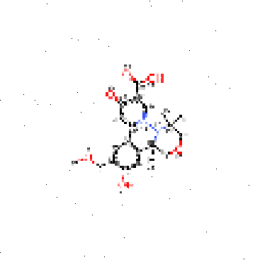 COCc1cc2c(cc1O)[C@H]1COCC(C)(C)N1n1cc(C(=O)O)c(=O)cc1-2